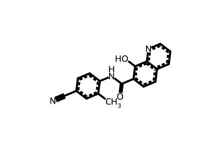 Cc1cc(C#N)ccc1NC(=O)c1ccc2cccnc2c1O